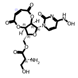 N[C@H](CO)C(=O)OC[C@H]1O[C@@H](n2ccc(NO)nc2=O)[C@@H]2OC(=O)/C=C\C(=O)O[C@@H]21